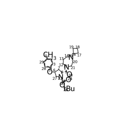 Cc1ccc(O[C@H]2C[C@H](C(=O)N3CCCN(C4CCC4)CC3)N(C(=O)OC(C)(C)C)C2)cc1